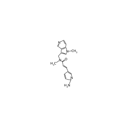 CN(Cc1cn(C)c2ccncc12)C(=O)/C=C/c1ccc(N)nc1